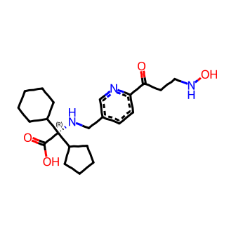 O=C(CCNO)c1ccc(CN[C@](C(=O)O)(C2CCCCC2)C2CCCC2)cn1